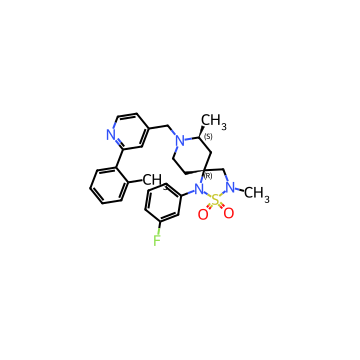 Cc1ccccc1-c1cc(CN2CC[C@@]3(C[C@@H]2C)CN(C)S(=O)(=O)N3c2cccc(F)c2)ccn1